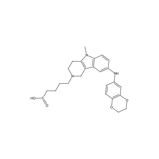 Cn1c2c(c3cc(Nc4ccc5c(c4)OCCO5)ccc31)CN(CCCCS(=O)O)CC2